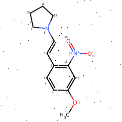 COc1ccc(/C=C/N2CCCC2)c([N+](=O)[O-])c1